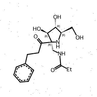 CCC(=O)NC[C@@]1(C(=O)CCc2ccccc2)N[C@H](CO)[C@@H](O)[C@@H]1O